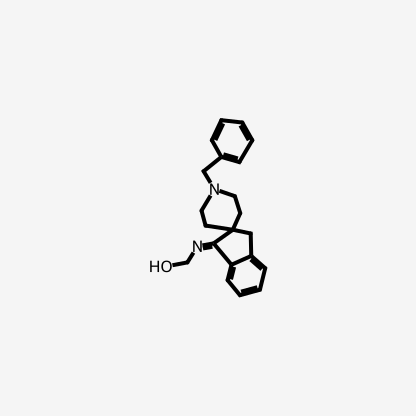 OCN=C1c2ccccc2CC12CCN(Cc1ccccc1)CC2